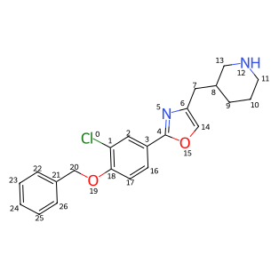 Clc1cc(-c2nc(CC3CCCNC3)co2)ccc1OCc1ccccc1